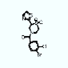 O=C(c1ccc(Br)c(Cl)c1)N1CCS(=O)(=O)C(c2nccs2)C1